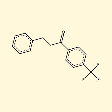 O=C(CCc1ccccc1)c1ccc(C(F)(F)F)cc1